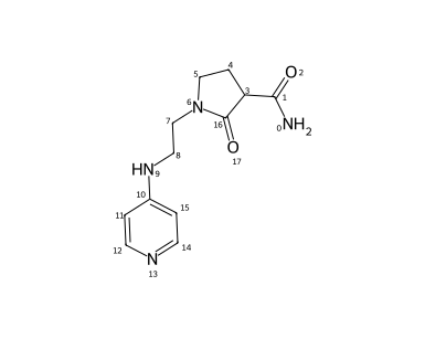 NC(=O)C1CCN(CCNc2ccncc2)C1=O